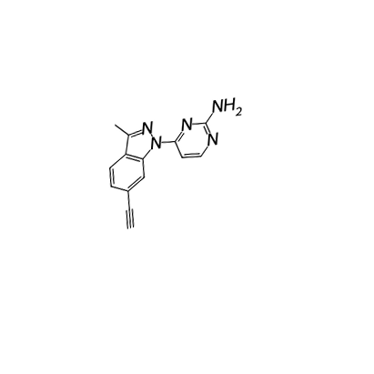 C#Cc1ccc2c(C)nn(-c3ccnc(N)n3)c2c1